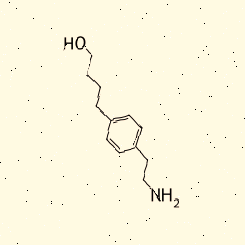 NCCc1ccc(CCCCO)cc1